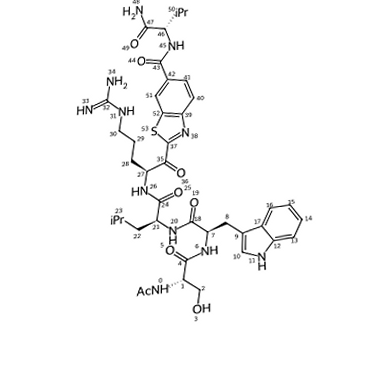 CC(=O)N[C@@H](CO)C(=O)N[C@H](Cc1c[nH]c2ccccc12)C(=O)N[C@@H](CC(C)C)C(=O)N[C@@H](CCCNC(=N)N)C(=O)c1nc2ccc(C(=O)N[C@H](C(N)=O)C(C)C)cc2s1